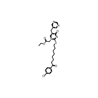 CCOC(=O)Cn1cc(Cc2cncnc2)c(=O)nc1SCCCCCCCC(=O)c1ccc(Cl)cc1